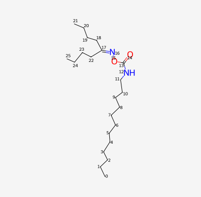 CCCCCCCCCCCCNC(=O)ON=C(CCCC)CCCC